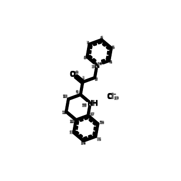 O=C(C[n+]1ccccc1)C1CCc2ccccc2N1.[Cl-]